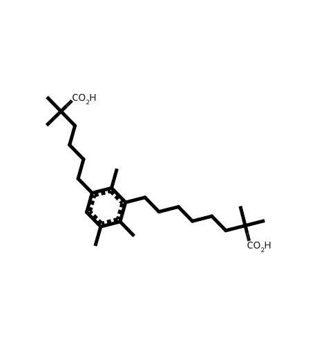 Cc1cc(CCCCC(C)(C)C(=O)O)c(C)c(CCCCCCC(C)(C)C(=O)O)c1C